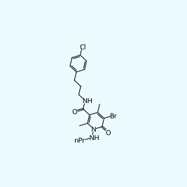 CCCNn1c(C)c(C(=O)NCCCc2ccc(Cl)cc2)c(C)c(Br)c1=O